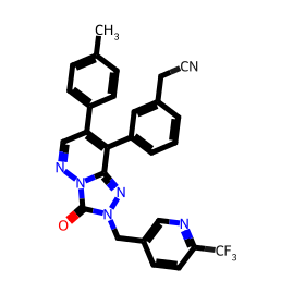 Cc1ccc(-c2cnn3c(=O)n(Cc4ccc(C(F)(F)F)nc4)nc3c2-c2cccc(CC#N)c2)cc1